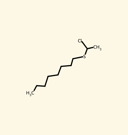 CCCCCCCCSC(C)Cl